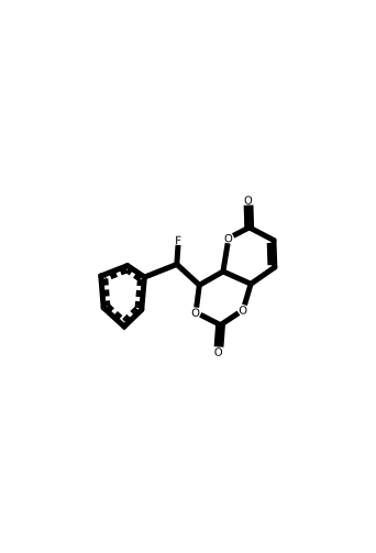 O=C1C=CC2OC(=O)OC(C(F)c3ccccc3)C2O1